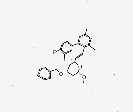 CO[C@@H]1C[C@H](OCc2ccccc2)C[C@@H](C=Cc2c(C)cc(C)cc2-c2ccc(F)c(C)c2)O1